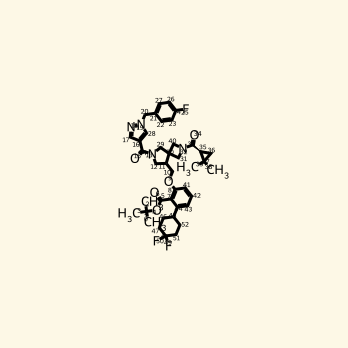 CC(C)(C)OC(=O)c1c(OCC2CN(C(=O)c3cnn(Cc4ccc(F)cc4)c3)CC23CN(C(=O)[C@H]2CC2(C)C)C3)cccc1C1CCC(F)(F)CC1